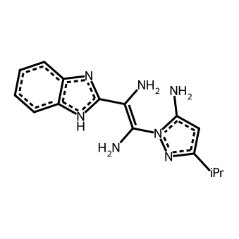 CC(C)c1cc(N)n(/C(N)=C(\N)c2nc3ccccc3[nH]2)n1